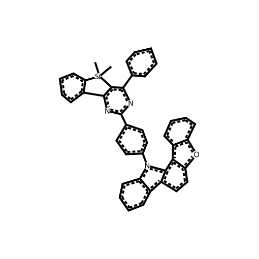 C[Si]1(C)c2ccccc2-c2nc(-c3ccc(-n4c5ccccc5c5ccc6oc7ccccc7c6c54)cc3)nc(-c3ccccc3)c21